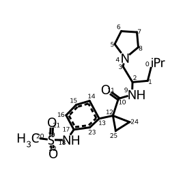 CC(C)CC(CN1CCCC1)NC(=O)C1(c2cccc(NS(C)(=O)=O)c2)CC1